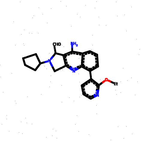 CCOc1ncccc1-c1cccc2c(N)c3c(nc12)CN(C1CCCC1)C3C=O